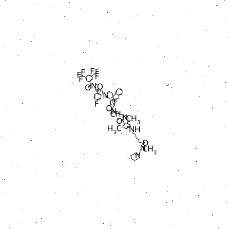 Cc1cc(NCCCCCC(=O)N(C)CCN2CC[CH]CC2)sc1C(=O)N(C)CCCN(C)C(=O)CO[C@H]1Cc2ccccc2C12CCN(CC[C@@]1(c3ccc(F)cc3)CN(C(=O)c3cc(C(F)(F)F)cc(C(F)(F)F)c3)CO1)CC2